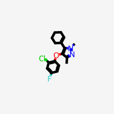 Cc1nn(C)c(C2=CCCCC2)c1Oc1ccc(F)cc1Cl